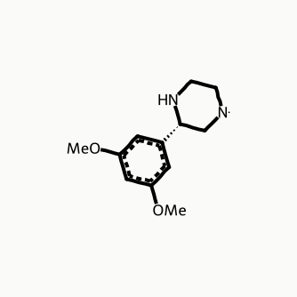 COc1cc(OC)cc([C@H]2C[N]CCN2)c1